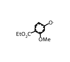 CCOC(=O)c1ccc([O])cc1OC